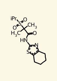 CC(C)S(=O)(=O)C(C)(C)C(=O)Nc1nc2c(s1)CCCC2